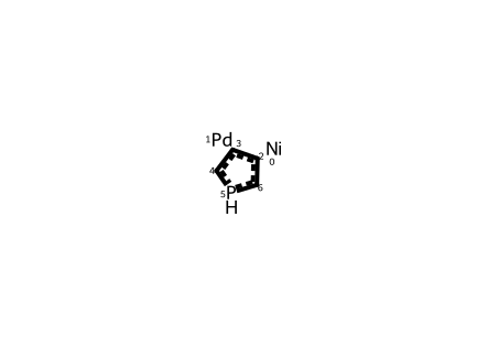 [Ni].[Pd].c1cc[pH]c1